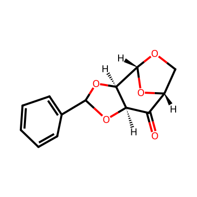 O=C1[C@H]2OC(c3ccccc3)O[C@H]2[C@@H]2OC[C@H]1O2